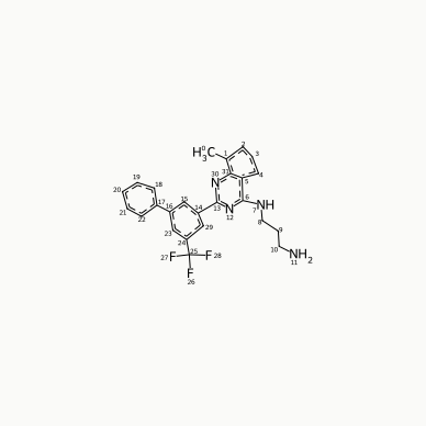 Cc1cccc2c(NCCCN)nc(-c3cc(-c4ccccc4)cc(C(F)(F)F)c3)nc12